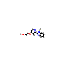 COCCCOc1ccnc(-c2nc3ccccc3n2SC)c1C